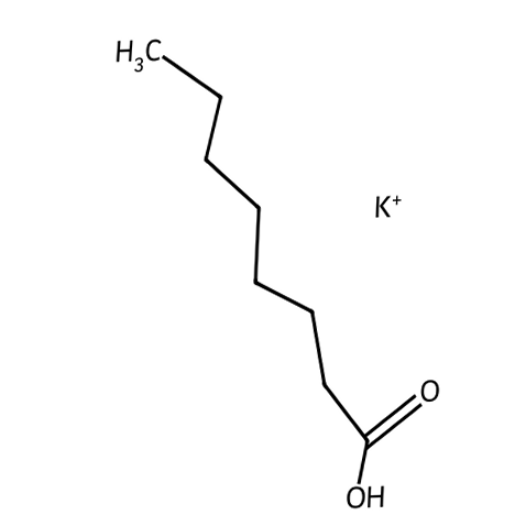 CCCCCCCC(=O)O.[K+]